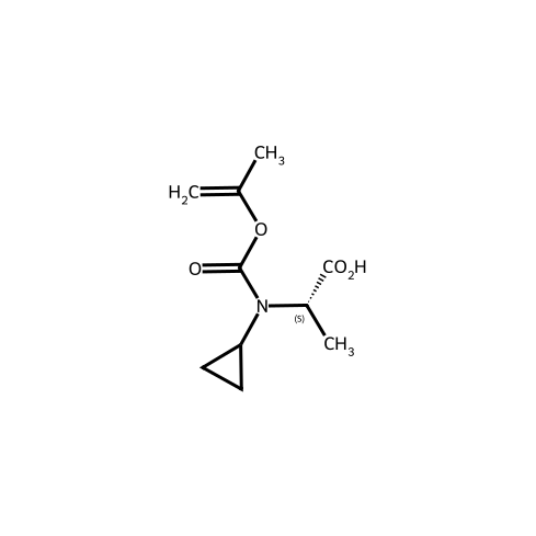 C=C(C)OC(=O)N(C1CC1)[C@@H](C)C(=O)O